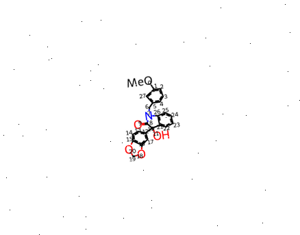 COc1cccc(CN2C(=O)C(O)(c3ccc4c(c3)OCO4)c3ccccc32)c1